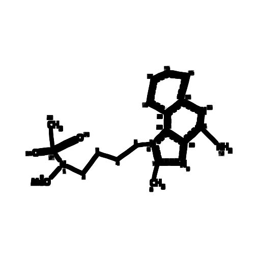 CON(CCCCn1c(C)nc2c(N)nc3ccccc3c21)S(C)(=O)=O